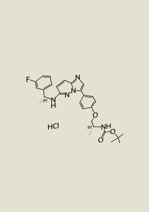 C[C@H](COc1ccc(-c2cnc3ccc(N[C@H](C)c4cccc(F)c4)nn23)cc1)NC(=O)OC(C)(C)C.Cl